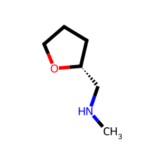 CNC[C@H]1CCCO1